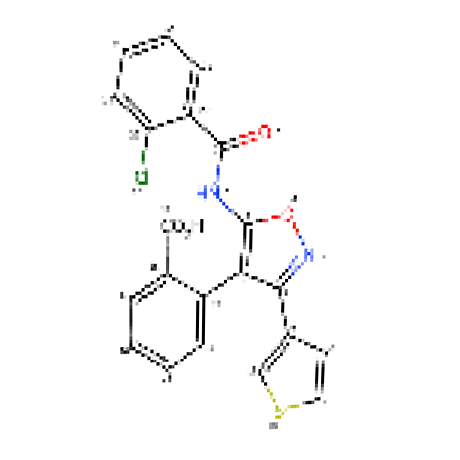 O=C(Nc1onc(-c2ccsc2)c1-c1ccccc1C(=O)O)c1ccccc1Cl